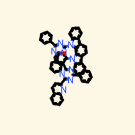 c1ccc(-c2nc(-c3ccc4ccccc4n3)nc(-c3ccccc3-n3c4ccccc4c4ccc5c6ccccc6n(-c6nc(-c7ccccc7)nc(-c7ccccc7)n6)c5c43)n2)cc1